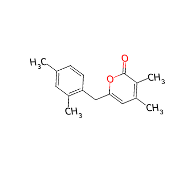 Cc1ccc(Cc2cc(C)c(C)c(=O)o2)c(C)c1